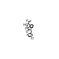 O=C1N(Cc2cncc(Cl)n2)c2cccc(C(O)C(F)F)c2C1(F)F